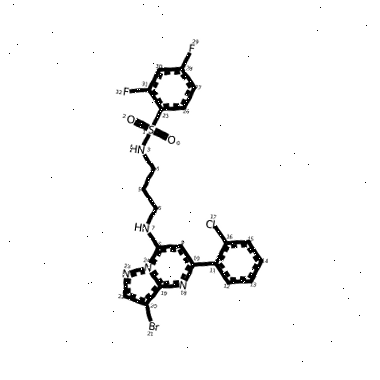 O=S(=O)(NCCCNc1cc(-c2ccccc2Cl)nc2c(Br)cnn12)c1ccc(F)cc1F